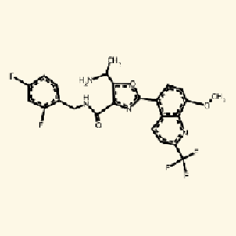 COc1ccc(-c2nc(C(=O)NCc3ccc(F)cc3F)c(C(C)N)o2)c2ccc(C(F)(F)F)nc12